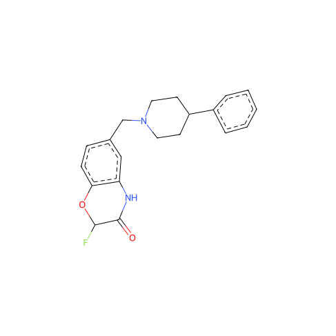 O=C1Nc2cc(CN3CCC(c4ccccc4)CC3)ccc2OC1F